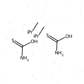 CC(C)C.CC(C)C.NC(O)=S.NC(O)=S